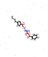 CCCCc1ccc(C(=O)OCCNC(=O)OC(=O)c2ccccc2)cc1